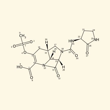 CS(=O)(=O)OC1=C(C(=O)O)N2C(=O)[C@@H]3[C@H]2[C@H](C1)CN3C(=O)N[C@H]1CCNC1=O